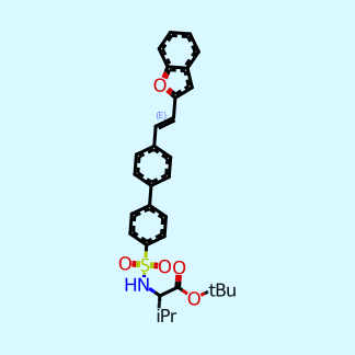 CC(C)C(NS(=O)(=O)c1ccc(-c2ccc(/C=C/c3cc4ccccc4o3)cc2)cc1)C(=O)OC(C)(C)C